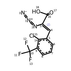 [N-]=[N+]=N/C(=C\c1cccc(C(F)(F)F)c1Cl)C(=O)O